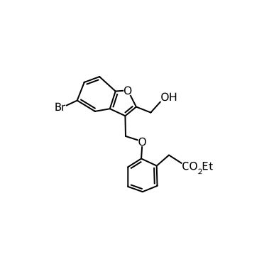 CCOC(=O)Cc1ccccc1OCc1c(CO)oc2ccc(Br)cc12